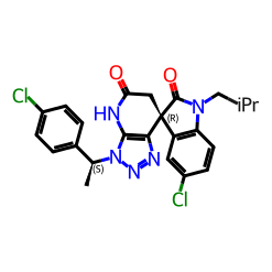 CC(C)CN1C(=O)[C@]2(CC(=O)Nc3c2nnn3[C@@H](C)c2ccc(Cl)cc2)c2cc(Cl)ccc21